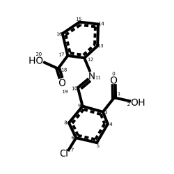 O=C(O)c1ccc(Cl)cc1C=Nc1ccccc1C(=O)O